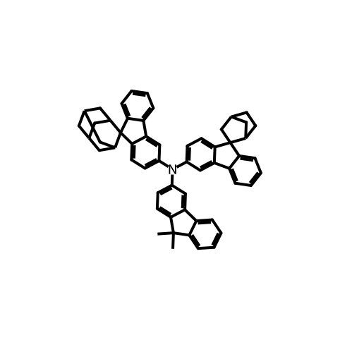 CC1(C)c2ccccc2-c2cc(N(c3ccc4c(c3)-c3ccccc3C43CC4CCC3C4)c3ccc4c(c3)-c3ccccc3C43C4CC5CC(C4)CC3C5)ccc21